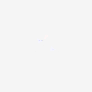 CCOC(=O)C(C#N)=c1sc(=CNc2cccc(C)c2)c(=O)n1CC